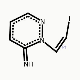 N=c1cccnn1/C=C\I